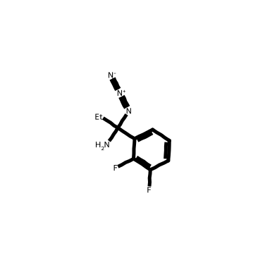 CCC(N)(N=[N+]=[N-])c1cccc(F)c1F